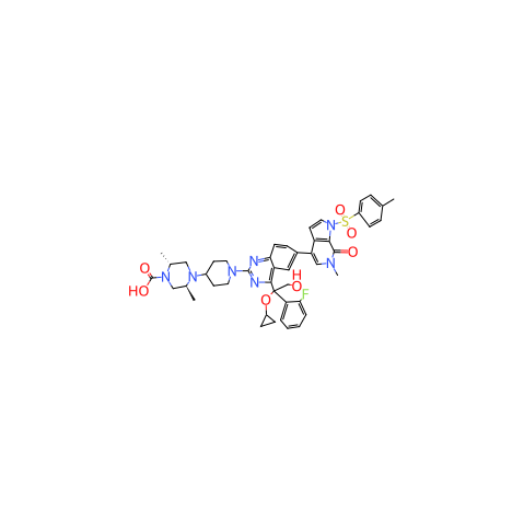 Cc1ccc(S(=O)(=O)n2ccc3c(-c4ccc5nc(N6CCC(N7C[C@@H](C)N(C(=O)O)C[C@@H]7C)CC6)nc(C(CO)(OC6CC6)c6ccccc6F)c5c4)cn(C)c(=O)c32)cc1